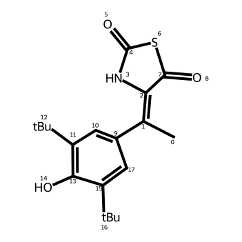 CC(=C1NC(=O)SC1=O)c1cc(C(C)(C)C)c(O)c(C(C)(C)C)c1